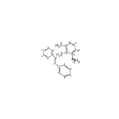 C(=Cc1ccccc1)c1ccccc1.Cc1cccc(N)c1C